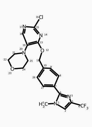 Cn1cc(C(F)(F)F)nc1-c1ccc(COc2nc(Cl)ncc2N2CCOCC2)cc1